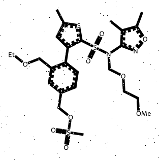 CCOCc1cc(COS(C)(=O)=O)ccc1-c1cc(C)sc1S(=O)(=O)N(COCCOC)c1noc(C)c1C